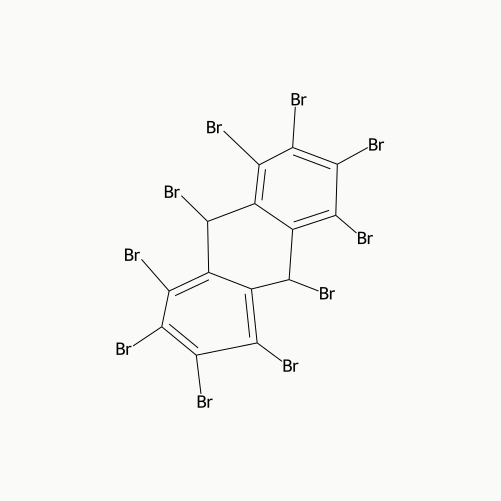 Brc1c(Br)c(Br)c2c(c1Br)C(Br)c1c(Br)c(Br)c(Br)c(Br)c1C2Br